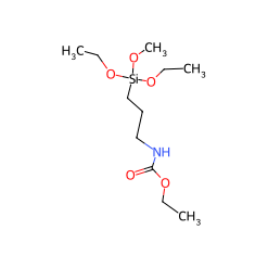 CCOC(=O)NCCC[Si](OC)(OCC)OCC